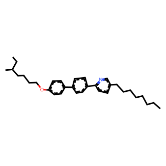 CCCCCCCCc1ccc(-c2ccc(-c3ccc(OCCCCC(C)CC)cc3)cc2)nc1